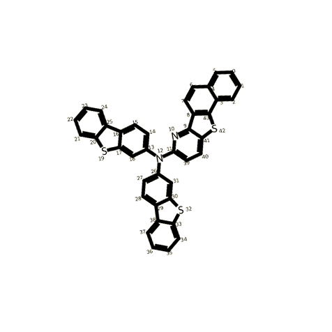 c1ccc2c(c1)ccc1c3nc(N(c4ccc5c(c4)sc4ccccc45)c4ccc5c(c4)sc4ccccc45)ccc3sc21